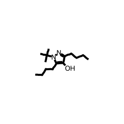 CCCCc1nn(C(C)(C)C)c(CCCC)c1O